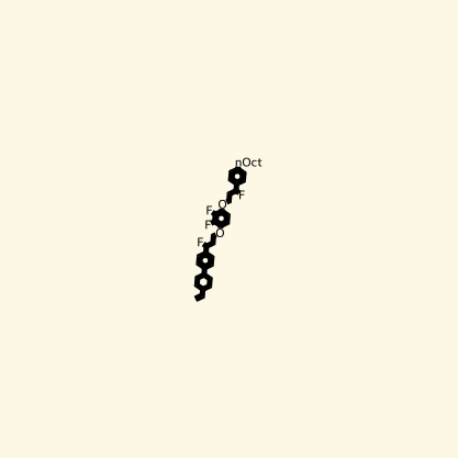 C=CC1CCC(c2ccc(C(F)CCOc3ccc(OCCC(F)c4ccc(CCCCCCCC)cc4)c(F)c3F)cc2)CC1